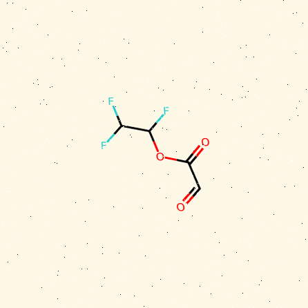 O=CC(=O)OC(F)C(F)F